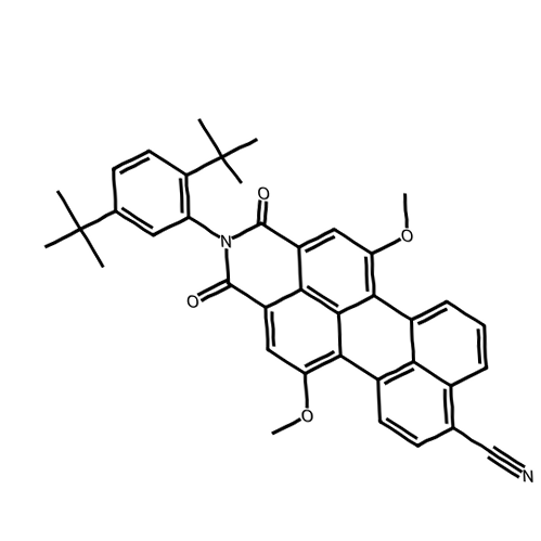 COc1cc2c3c(cc(OC)c4c5ccc(C#N)c6cccc(c1c34)c65)C(=O)N(c1cc(C(C)(C)C)ccc1C(C)(C)C)C2=O